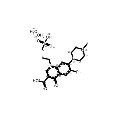 CCn1cc(C(=O)O)c(=O)c2cc(F)c(N3CCN(C)CC3)cc21.CS(=O)(=O)O.O.O